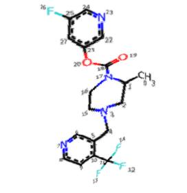 CC1CN(Cc2cnccc2C(F)(F)F)CCN1C(=O)Oc1cncc(F)c1